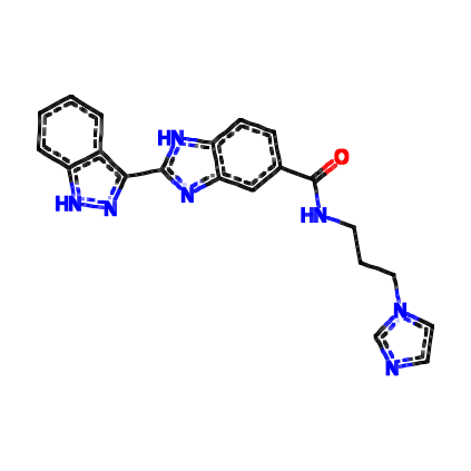 O=C(NCCCn1ccnc1)c1ccc2[nH]c(-c3n[nH]c4ccccc34)nc2c1